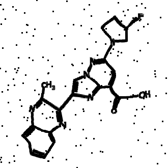 Cc1nc2ccccc2nc1-c1cn2nc(N3CC[C@@H](F)C3)cc(C(=O)O)c2n1